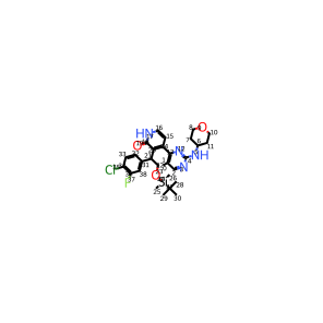 Cc1cnc(NC2CCOCC2)nc1-c1cc[nH]c(=O)c1C(CO[Si](C)(C)C(C)(C)C)c1ccc(Cl)c(F)c1